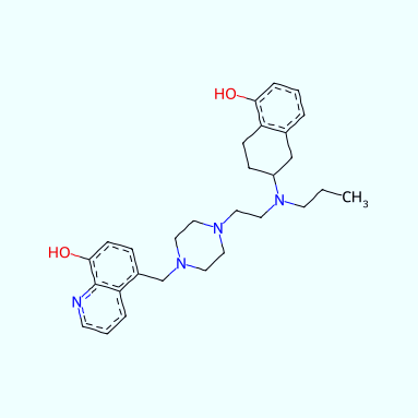 CCCN(CCN1CCN(Cc2ccc(O)c3ncccc23)CC1)C1CCc2c(O)cccc2C1